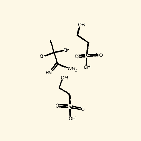 CC(Br)(Br)C(=N)N.O=S(=O)(O)CCO.O=S(=O)(O)CCO